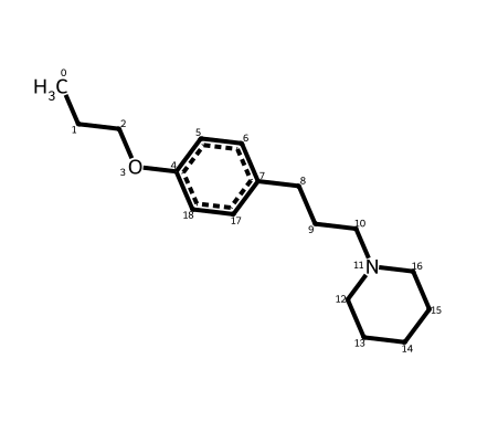 CCCOc1ccc(CCCN2CCCCC2)cc1